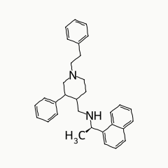 C[C@@H](NCC1CCN(CCc2ccccc2)CC1c1ccccc1)c1cccc2ccccc12